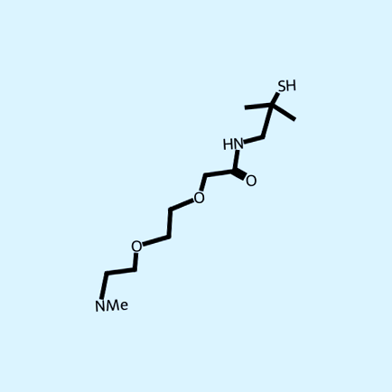 CNCCOCCOCC(=O)NCC(C)(C)S